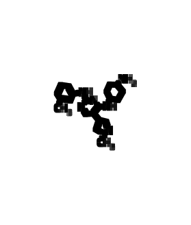 Cc1cccc(Nc2ncc(-c3cnn(C)c3)c(NC3CCC(N)CC3)n2)c1